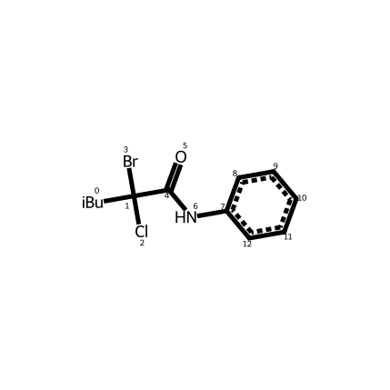 CCC(C)C(Cl)(Br)C(=O)Nc1ccccc1